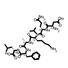 CC(C)C[C@H](NC(=O)[C@H](Cc1ccccc1)NC(=O)[C@H](C)NC(=O)[C@H](CCCCN)N(C(=O)[C@H](CCC(N)=O)NC(=O)[C@@H](N)CC(=O)O)C(C)C)C(=O)O